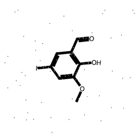 COc1cc(I)cc(C=O)c1O